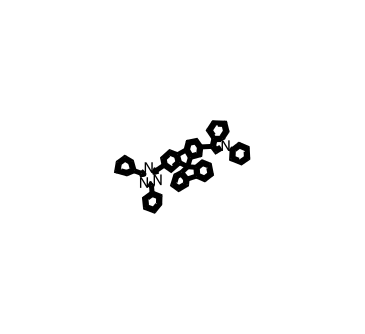 c1ccc(-c2nc(-c3ccccc3)nc(-c3ccc4c(c3)C3(c5ccccc5-c5ccccc53)c3cc(-c5cn(-c6ccccc6)c6ccccc56)ccc3-4)n2)cc1